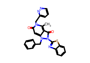 Cc1c2c(=O)n(-c3nc4ccccc4s3)n(Cc3ccccc3)c2cc(=O)n1Cc1cccnn1